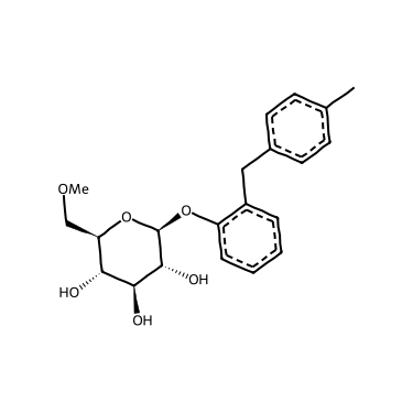 COC[C@H]1O[C@@H](Oc2ccccc2Cc2ccc(C)cc2)[C@H](O)[C@@H](O)[C@@H]1O